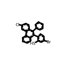 Sc1cc(Br)ccc1-c1c(-c2ccccc2)c2ccc(Cl)cc2c2ccccc12